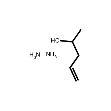 C=CCC(C)O.N.N